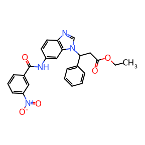 CCOC(=O)CC(c1ccccc1)n1cnc2ccc(NC(=O)c3cccc([N+](=O)[O-])c3)cc21